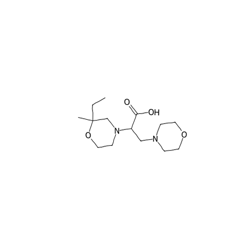 CCC1(C)CN(C(CN2CCOCC2)C(=O)O)CCO1